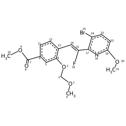 COCOc1cc(C(=O)OC)ccc1C=C(F)c1nc(OC)ccc1Br